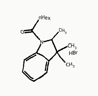 Br.CCCCCCC(=O)N1c2ccccc2C(C)(C)C1C